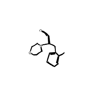 Cc1ccccc1CC(C=O)N1CCOCC1